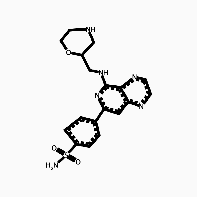 NS(=O)(=O)c1ccc(-c2cc3nccnc3c(NCC3CNCCO3)n2)cc1